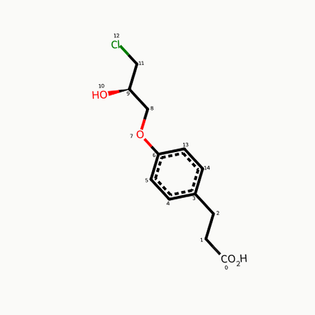 O=C(O)CCc1ccc(OC[C@@H](O)CCl)cc1